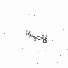 O=C(CNOOC(F)(F)F)N1CCN(C(=O)c2ccccc2C(F)(F)F)CC1